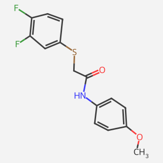 COc1ccc(NC(=O)CSc2ccc(F)c(F)c2)cc1